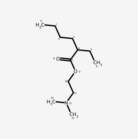 CCCCC(CC)C(=O)OCCN(C)C